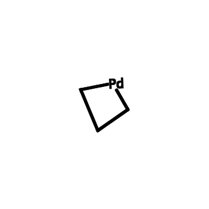 C1[CH2][Pd][CH2]1